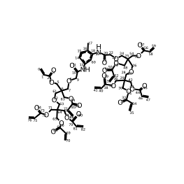 C=CC(=O)OCC(COCC(=O)Nc1ccc(C)c(NC(=O)COCC(COCC(COC(=O)C=C)(COC(=O)C=C)COC(=O)C=C)(COC(=O)C=C)COC(=O)C=C)c1)(COCC(COC(=O)C=C)(COC(=O)C=C)COC(=O)C=C)COC(=O)C=C